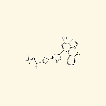 COc1ncccc1-c1c(-c2cnn(C3CN(C(=O)OC(C)(C)C)C3)c2)nc(O)c2ccsc12